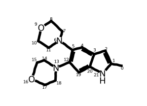 Cc1cc2cc(N3CCOCC3)c(N3CCOCC3)cc2[nH]1